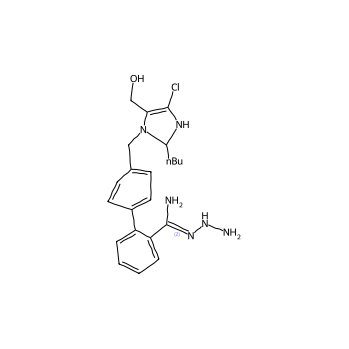 CCCCC1NC(Cl)=C(CO)N1Cc1ccc(-c2ccccc2/C(N)=N/NN)cc1